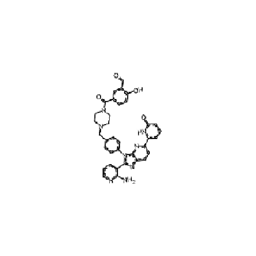 Nc1ncccc1-c1nc2ccc(-c3cccc(=O)[nH]3)nc2n1-c1ccc(CN2CCN(C(=O)c3ccc(O)c(C=O)c3)CC2)cc1